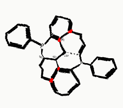 CC1=CCC[C@@H](P(c2ccccc2)c2ccccc2)[C@H]1[C@H]1C(P(c2ccccc2)c2ccccc2)=CCC[C@H]1C